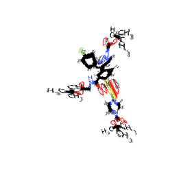 CC(C)(C)OC(=O)CNC(=O)c1cc(-c2cn(C(=O)OC(C)(C)C)c3cc(F)ccc23)ccc1S(=O)(=O)N1CCN(C(=O)OC(C)(C)C)CC1